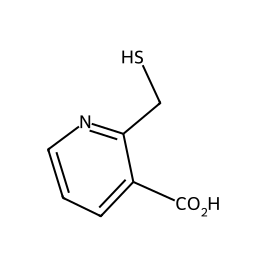 O=C(O)c1cccnc1CS